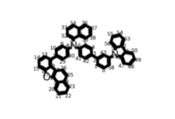 c1cc(-c2ccc(N(c3ccc(-c4cccc5oc6c7ccccc7ccc6c45)cc3)c3cccc4ccccc34)cc2)cc(-n2c3ccccc3c3ccccc32)c1